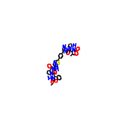 CCOC(=O)N[C@@H](C(=O)N1CCCC1C(=O)Nc1cn2c(n1)SC(c1ccc(-c3cnc([C@@H]4CCCN4C(=O)[C@@H](NC(=O)OC)C(C)C)[nH]3)cc1)C2)c1ccccc1